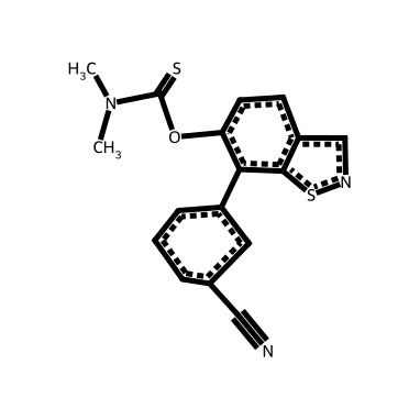 CN(C)C(=S)Oc1ccc2cnsc2c1-c1cccc(C#N)c1